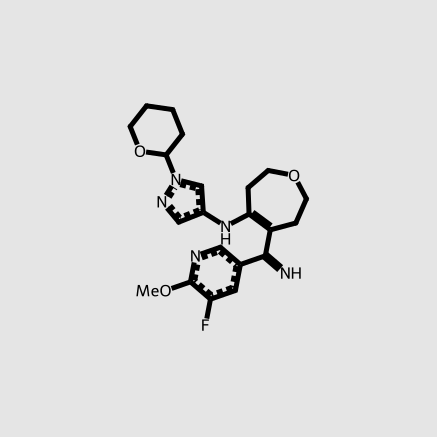 COc1ncc(C(=N)C2=C(Nc3cnn(C4CCCCO4)c3)CCOCC2)cc1F